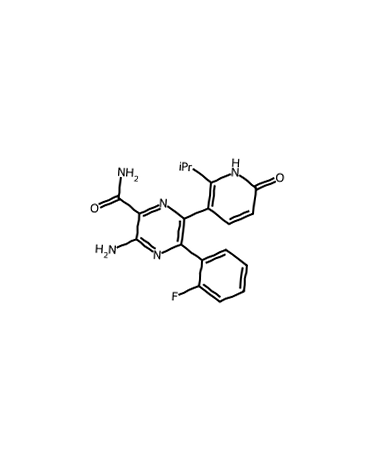 CC(C)c1[nH]c(=O)ccc1-c1nc(C(N)=O)c(N)nc1-c1ccccc1F